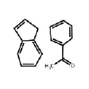 C1=Cc2ccccc2C1.CC(=O)c1ccccc1